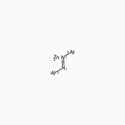 [Al][N]=[N][Al].[Zn]